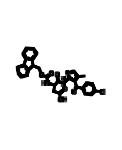 Cc1csc(NC(=O)C(CC(=O)O)NC(=O)OCC2c3ccccc3-c3ccccc32)c1C(=O)c1ccc(Cl)cc1